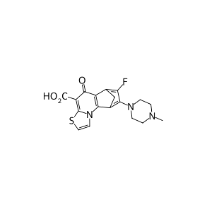 CN1CCN(C2=C3CC(=C2F)c2c3n3ccsc3c(C(=O)O)c2=O)CC1